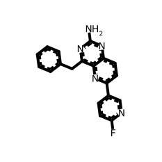 Nc1nc(Cc2ccccc2)c2nc(-c3ccc(F)nc3)ccc2n1